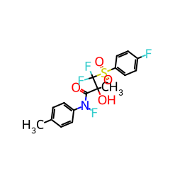 Cc1ccc(N(F)C(=O)C(C)(O)C(F)(F)S(=O)(=O)c2ccc(F)cc2)cc1